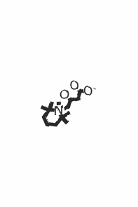 CC1(C)CCCC(C)(C)[N+]1(C)CC(=O)CC(=O)[O-]